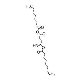 CCCCCCCC(=O)OC(=N)CCC(=O)OC(=O)CCCCCCC